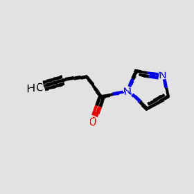 C#CCC(=O)n1ccnc1